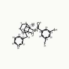 O=C(N[C@@H]1C2CCN(CC2)[C@H]1Cc1cccnc1)c1cc(F)cc(I)c1